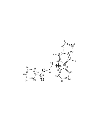 Cc1c2cnccc2c(C)c2c1c1ccccc1n2CCOC(=O)c1ccccc1